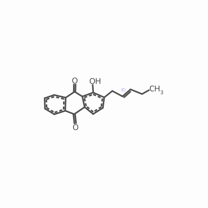 CC/C=C/Cc1ccc2c(c1O)C(=O)c1ccccc1C2=O